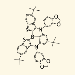 CC(C)(C)c1cc2c3c(c1)N(c1ccc4c(c1)OCO4)c1c(sc4ccc(C(C)(C)C)cc14)B3c1sc3ccc(C(C)(C)C)cc3c1N2c1ccc2c(c1)OCO2